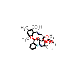 Cc1cc(C)c(C(=O)O)c(/C=C/C[C@@H]2OC(C)(C)O[C@@H]2C(OC(=O)c2ccccc2)/C(F)=C\[C@H](C)[C@H](C)O)c1